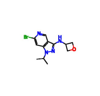 CC(C)n1nc(NC2COC2)c2cnc(Br)cc21